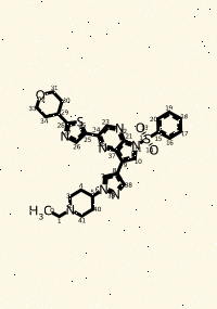 CCN1CCC(n2cc(-c3cn(S(=O)(=O)c4ccccc4)c4ncc(-c5cnc(C6CCOCC6)s5)nc34)cn2)CC1